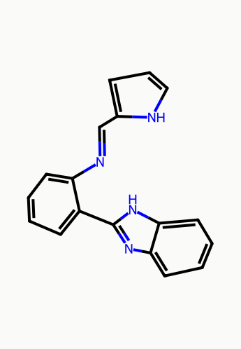 C(=N\c1ccccc1-c1nc2ccccc2[nH]1)/c1ccc[nH]1